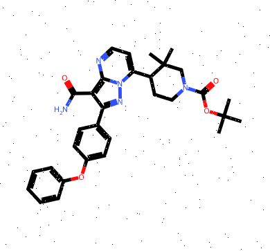 CC(C)(C)OC(=O)N1CCC(c2ccnc3c(C(N)=O)c(-c4ccc(Oc5ccccc5)cc4)nn23)C(C)(C)C1